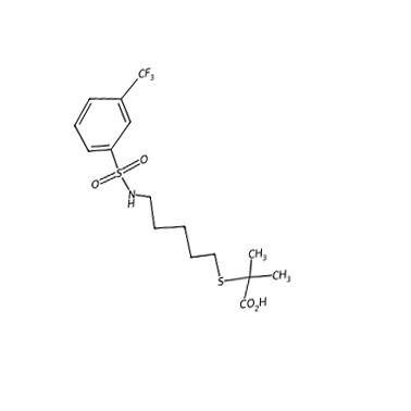 CC(C)(SCCCCCNS(=O)(=O)c1cccc(C(F)(F)F)c1)C(=O)O